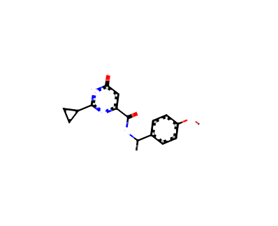 CC(C)C(NC(=O)c1cc(=O)[nH]c(C2CC2)n1)c1ccc(OC(F)(F)F)cc1